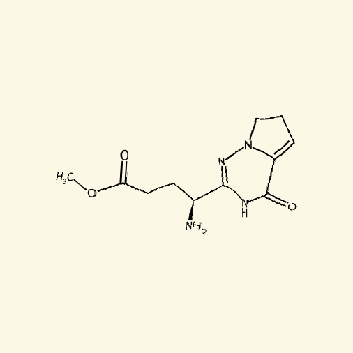 COC(=O)CC[C@H](N)C1=NN2CCC=C2C(=O)N1